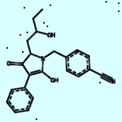 CCC(O)CC1C(=O)C(c2ccccc2)=C(O)N1Cc1ccc(C#N)cc1